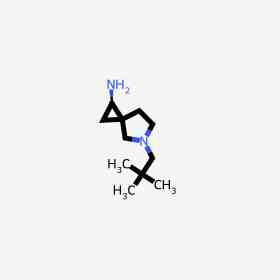 CC(C)(C)CN1CCC2(C[C@H]2N)C1